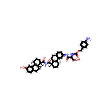 C[C@]1(C(=O)NC(=O)[C@@]2(C)CCC[C@]3(C)c4cc(NC(=O)C(CO)NC(=O)OCc5ccc(N)cc5)ccc4CC[C@@H]23)CCC[C@]2(C)c3cc(O)ccc3CC[C@@H]12